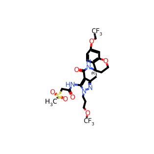 CS(=O)(=O)CC(=O)Nc1c2c(nn1CCCOC(F)(F)F)C[C@]1(CCOc3cc(OCC(F)(F)F)ccc31)NC2=O